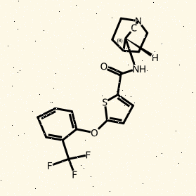 O=C(N[C@H]1CN2CCC1CC2)c1ccc(Oc2ccccc2C(F)(F)F)s1